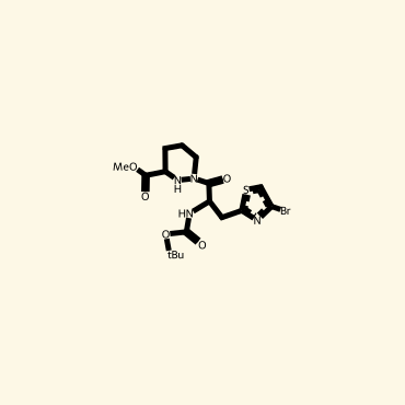 COC(=O)C1CCCN(C(=O)C(Cc2nc(Br)cs2)NC(=O)OC(C)(C)C)N1